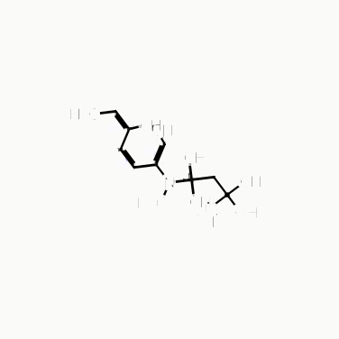 C\C=C(C)/C=C\C(=C/C)N(C)C(C)(C)CC(C)(C)O